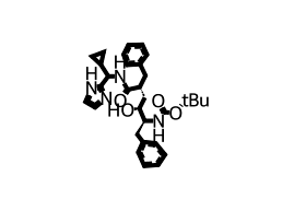 CC(C)(C)OC(=O)N[C@@H](Cc1ccccc1)[C@@H](O)C[C@@H](Cc1ccccc1)C(=O)NC(c1ncc[nH]1)C1CC1